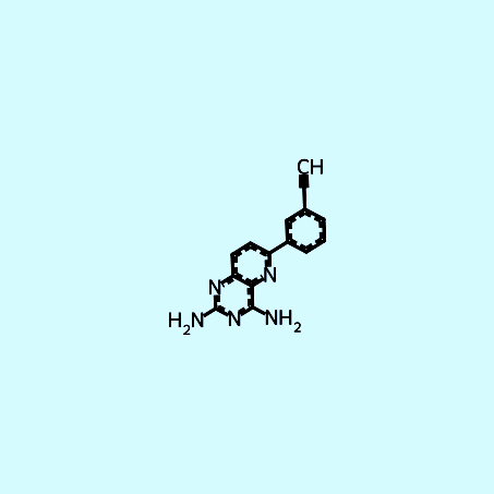 C#Cc1cccc(-c2ccc3nc(N)nc(N)c3n2)c1